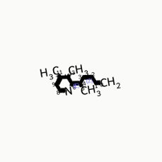 C=C/C=C\C(C)=C1\N=CC=C(C)C1C